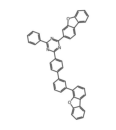 c1ccc(-c2nc(-c3ccc(-c4cccc(-c5cccc6c5oc5ccccc56)c4)cc3)nc(-c3ccc4c(c3)oc3ccccc34)n2)cc1